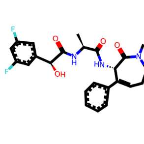 C[C@H](NC(=O)[C@@H](O)c1cc(F)cc(F)c1)C(=O)N[C@@H]1C(=O)N(C)CCC=C1c1ccccc1